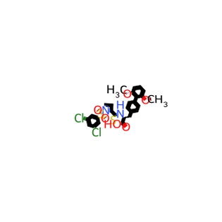 COc1cccc(OC)c1-c1ccc(C[C@H](NC(=S)C2CCN2S(=O)(=O)c2cc(Cl)cc(Cl)c2)C(=O)O)cc1